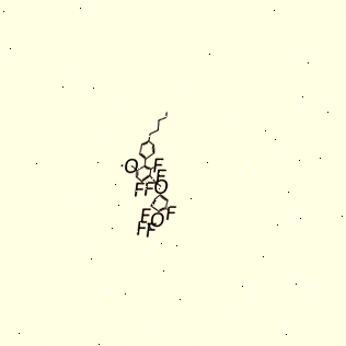 CCCCCc1ccc(-c2c([O])cc(F)c(C(F)(F)Oc3ccc(OC(F)(F)F)c(F)c3)c2F)cc1